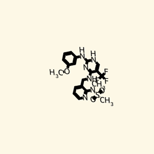 COc1cccc(NC2N=C(NCc3cccnc3N(C)S(C)(=O)=O)C(C(F)(F)F)=CN2)c1